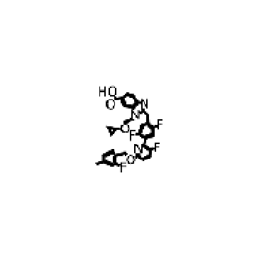 Cc1ccc(COc2ccc(F)c(-c3cc(F)c(Cc4nc5ccc(C(=O)O)cc5n4CCOC4CC4)cc3F)n2)c(F)c1